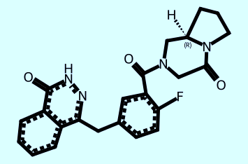 O=C(c1cc(Cc2n[nH]c(=O)c3ccccc23)ccc1F)N1CC(=O)N2CCC[C@@H]2C1